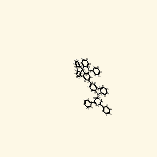 c1ccc(-c2nc(-c3ccccc3)nc(-n3c4ccccc4c4cc(-c5ccc6c(c5)N(c5ccccc5)c5ccccc5C65c6ccccc6-c6ccccc65)ccc43)n2)cc1